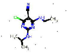 CCNc1nc(NC(C)C)nc(Cl)c1C#N